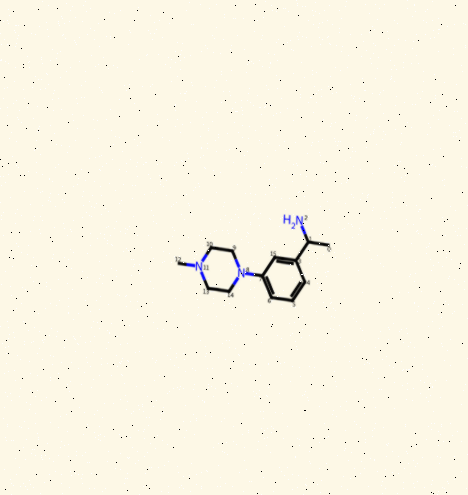 CC(N)c1cccc(N2CCN(C)CC2)c1